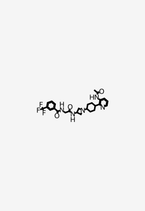 CC(=O)Nc1cccnc1C1CCC(N2CC(NC(=O)CNC(=O)c3cccc(C(F)(F)F)c3)C2)CC1